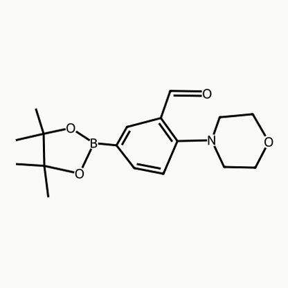 CC1(C)OB(c2ccc(N3CCOCC3)c(C=O)c2)OC1(C)C